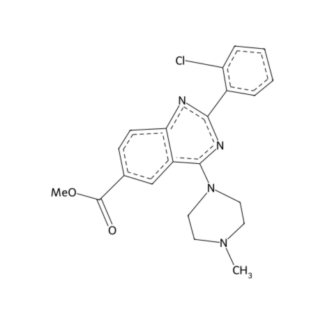 COC(=O)c1ccc2nc(-c3ccccc3Cl)nc(N3CCN(C)CC3)c2c1